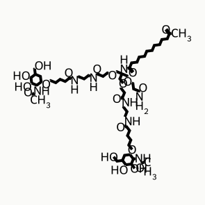 CC(=O)CCCCCCCCCCC(=O)NC(COCCC(N)=O)(COCCC(=O)NCCCNC(=O)CCCCOC1CC(CO)C(O)C(O)C1NC(C)=O)COCCC(=O)NCCCNC(=O)CCCCOC1CC(CO)C(O)C(O)C1NC(C)=O